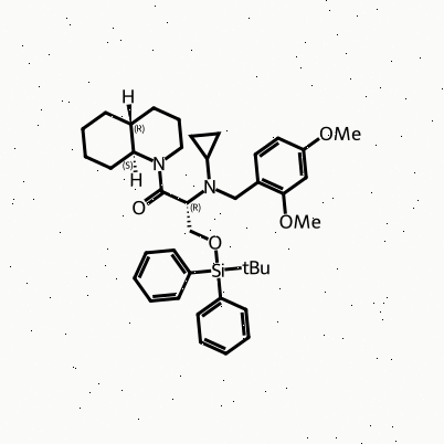 COc1ccc(CN(C2CC2)[C@H](CO[Si](c2ccccc2)(c2ccccc2)C(C)(C)C)C(=O)N2CCC[C@H]3CCCC[C@@H]32)c(OC)c1